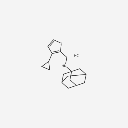 Cl.c1cc(C2CC2)c(CNC23CC4CC(CC(C4)C2)C3)s1